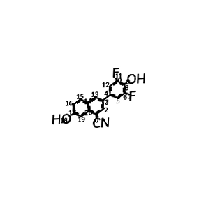 N#Cc1cc(-c2cc(F)c(O)c(F)c2)cc2ccc(O)cc12